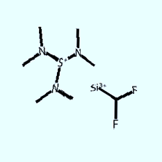 CN(C)[S+](N(C)C)N(C)C.FC(F)[Si+3]